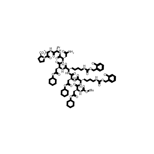 CC(C)[C@H](NC(=O)[C@H](CC(N)=O)NC(=O)[C@H](CC(=O)OC1CCCCC1)NC(=O)[C@H](CCCCNC(=O)OCc1ccccc1Cl)NC(=O)[C@H](CC(=O)OC1CCCCC1)NC(=O)[C@H](CCCCNC(=O)OCc1ccccc1Cl)NC(=O)[C@H](CC(=O)OC1CCCCC1)NC(=O)OC(C)(C)C)C(=O)N[C@@H](C)C(=O)N1CCC[C@H]1C(=O)O